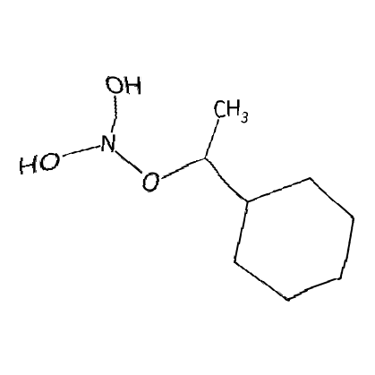 CC(ON(O)O)C1CCCCC1